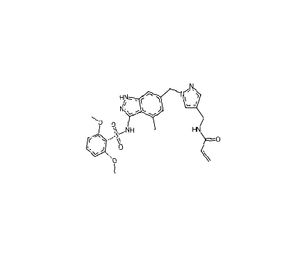 C=CC(=O)NCc1cnn(Cc2cc(C)c3c(NS(=O)(=O)c4c(OC)cccc4OC)n[nH]c3c2)c1